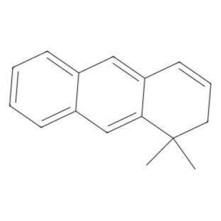 CC1(C)CC=Cc2cc3ccccc3cc21